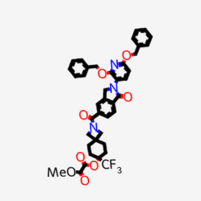 COC(=O)C(=O)OC1(C(F)(F)F)CCC2(CC1)CN(C(=O)c1ccc3c(c1)CN(c1ccc(OCc4ccccc4)nc1OCc1ccccc1)C3=O)C2